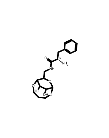 N[C@@H](Cc1ccccc1)C(=O)NCC1OC2OCCCOC1C(O)C2O